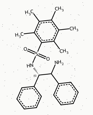 Cc1c(C)c(C)c(S(=O)(=O)N[C@@H](c2ccccc2)C(N)c2ccccc2)c(C)c1C